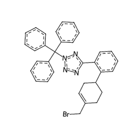 BrCC1=CCC(c2ccccc2-c2nnn(C(c3ccccc3)(c3ccccc3)c3ccccc3)n2)CC1